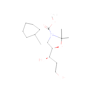 CC(C)(C)OC(=O)N1[C@@H](CC2CCCCC2)[C@H]([C@H](O)CCO)OC1(C)C